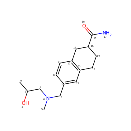 CC(O)CN(C)Cc1ccc2c(c1)CCC(C(N)=O)C2